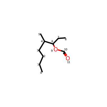 CCCCC(C)C(CC)OC=O